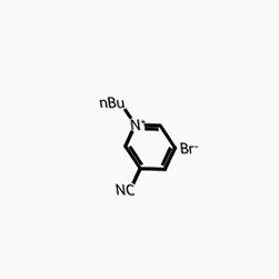 CCCC[n+]1cccc(C#N)c1.[Br-]